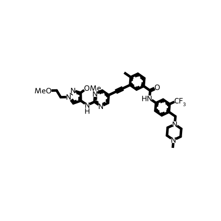 COCCn1cc(Nc2ncc(C#Cc3cc(C(=O)Nc4ccc(CN5CCN(C)CC5)c(C(F)(F)F)c4)ccc3C)cn2)c(OC)n1